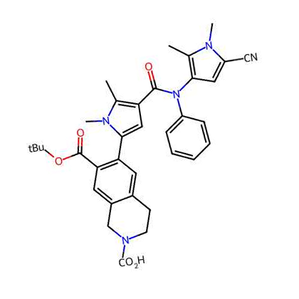 Cc1c(N(C(=O)c2cc(-c3cc4c(cc3C(=O)OC(C)(C)C)CN(C(=O)O)CC4)n(C)c2C)c2ccccc2)cc(C#N)n1C